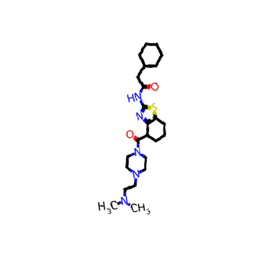 CN(C)CCN1CCN(C(=O)C2CCCc3sc(NC(=O)CC4CCCCC4)nc32)CC1